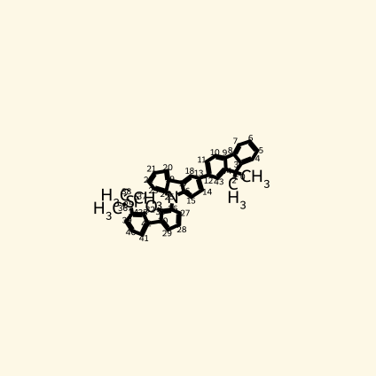 CC1(C)c2ccccc2-c2ccc(-c3ccc4c(c3)c3ccccc3n4-c3cccc4c3oc3c([Si](C)(C)C)cccc34)cc21